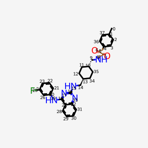 Cc1ccc(S(=O)(=O)NC[C@H]2CC[C@H](CNc3nc(Nc4cccc(F)c4)c4ccccc4n3)CC2)cc1